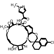 Cn1cc(C(=O)NS2(=O)=NC(=O)C(C)(C)OCC=C[C@H](O)[C@@H]3CC[C@H]3CN3C[C@@]4(CCCc5cc(Cl)ccc54)COc4ccc2cc43)cn1